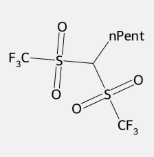 CCCCCC(S(=O)(=O)C(F)(F)F)S(=O)(=O)C(F)(F)F